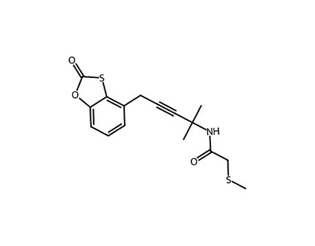 CSCC(=O)NC(C)(C)C#CCc1cccc2oc(=O)sc12